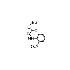 C[C@@H](Nc1ccccc1[N+](=O)[O-])C(=O)OC(C)(C)C